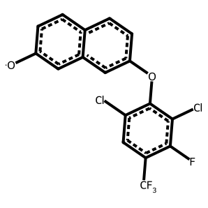 [O]c1ccc2ccc(Oc3c(Cl)cc(C(F)(F)F)c(F)c3Cl)cc2c1